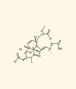 CO[C@H]1C[C@H]2C=C[C@H]3[C@H]4O[C@]2(/C(C)=C/[C@@H](C)[C@@H]([C@@H](C)O)OC1=O)[C@@H]3C(=O)C(C)[C@H]4C[N+](=O)[O-]